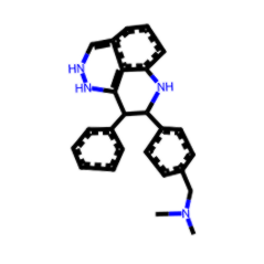 CN(C)Cc1ccc(C2Nc3cccc4c3=C(NNC=4)C2c2ccccc2)cc1